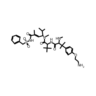 CNC(C(=O)NC(C(=O)N(C)C(C=C(C)C(=O)NS(=O)(=O)Cc1ccccc1)C(C)C)C(C)(C)C)C(C)(C)c1ccc(OCCN)cc1